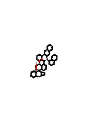 c1ccc(-c2cc3ccccc3cc2N(c2cccc3ccccc23)c2ccc3c4c(cccc24)C2(c4ccccc4Oc4ccccc42)c2ccccc2-3)cc1